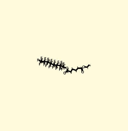 CCOC(=O)CCCCC(=O)OC(F)(F)C(F)(F)C(F)(F)C(F)(F)C(F)(F)C(F)(F)C(F)(F)C(F)(F)F